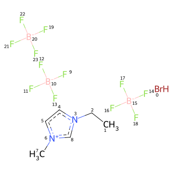 Br.CCn1cc[n+](C)c1.F[B-](F)(F)F.F[B-](F)(F)F.F[B-](F)(F)F